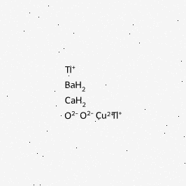 [BaH2].[CaH2].[Cu+2].[O-2].[O-2].[Tl+].[Tl+]